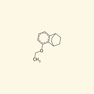 CCOc1cccc2c1C1CCC2CC1